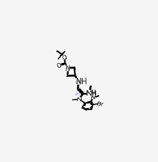 CN/C(=C\NC1CN(C(=O)OC(C)(C)C)C1)N(C)c1cccc(Br)c1NC